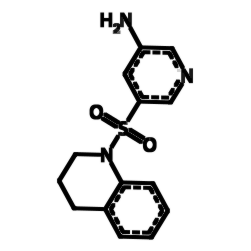 Nc1cncc(S(=O)(=O)N2CCCc3ccccc32)c1